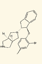 Cc1ccc(O[C@@H]2c3ccccc3C[C@H]2N2C[C@H]3CNC[C@H]3C2)c(Br)c1